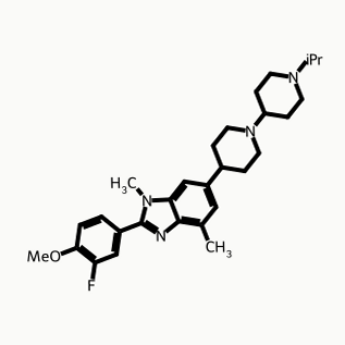 COc1ccc(-c2nc3c(C)cc(C4CCN(C5CCN(C(C)C)CC5)CC4)cc3n2C)cc1F